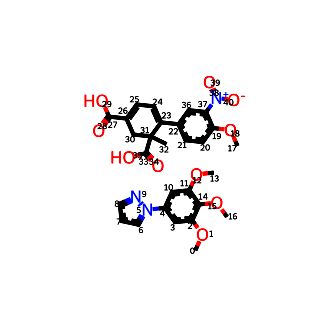 COc1cc(-n2cccn2)cc(OC)c1OC.COc1ccc(C2=CC=C(C(=O)O)CC2(C)C(=O)O)cc1[N+](=O)[O-]